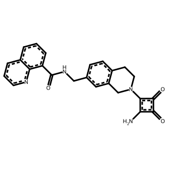 Nc1c(N2CCc3ccc(CNC(=O)c4cccc5cccnc45)cc3C2)c(=O)c1=O